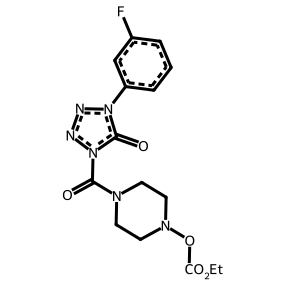 CCOC(=O)ON1CCN(C(=O)n2nnn(-c3cccc(F)c3)c2=O)CC1